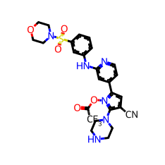 N#Cc1cc(-c2ccnc(Nc3cccc(S(=O)(=O)N4CCOCC4)c3)c2)n(OC(=O)C(F)(F)F)c1N1CCNCC1